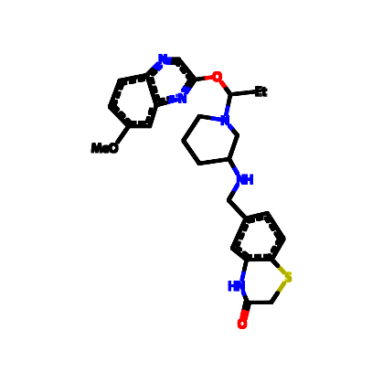 CCC(Oc1cnc2ccc(OC)cc2n1)N1CCCC(NCc2ccc3c(c2)NC(=O)CS3)C1